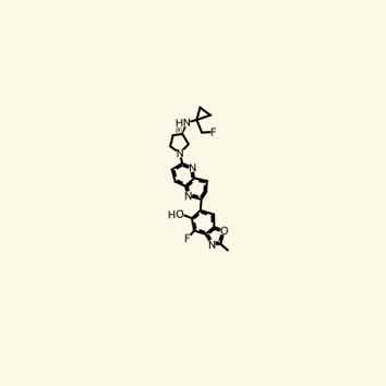 Cc1nc2c(F)c(O)c(-c3ccc4nc(N5CC[C@@H](NC6(CF)CC6)C5)ccc4n3)cc2o1